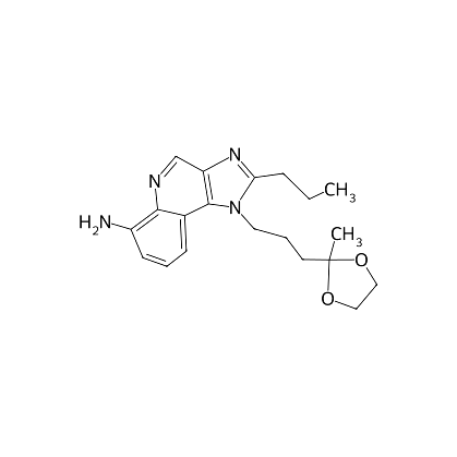 CCCc1nc2cnc3c(N)cccc3c2n1CCCC1(C)OCCO1